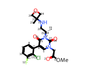 COC(=O)Cn1cc(-c2cccc(F)c2Cl)c(=O)n([C@@H](C)CNC2(C)COC2)c1=O